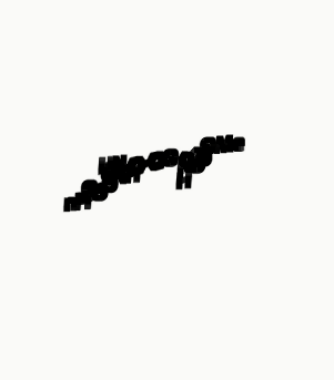 CCCC(=O)OCOC(=O)NC(=N)c1ccc(-c2ccc(OC[C@@H]3C[C@@H](CC(=O)OC)C(=O)N3)cc2)cc1